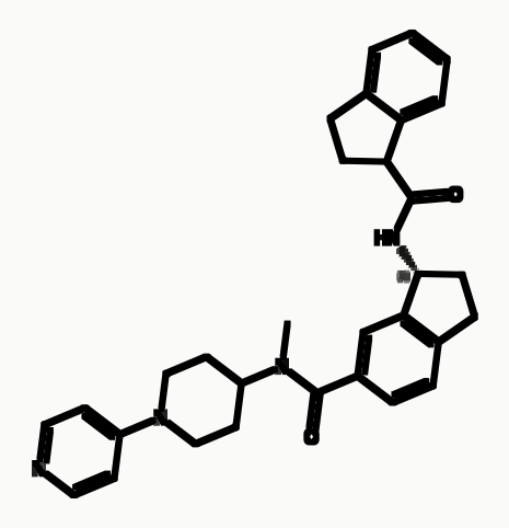 CN(C(=O)c1ccc2c(c1)[C@H](NC(=O)C1CCc3ccccc31)CC2)C1CCN(c2ccncc2)CC1